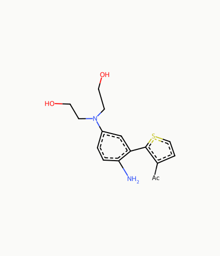 CC(=O)c1ccsc1-c1cc(N(CCO)CCO)ccc1N